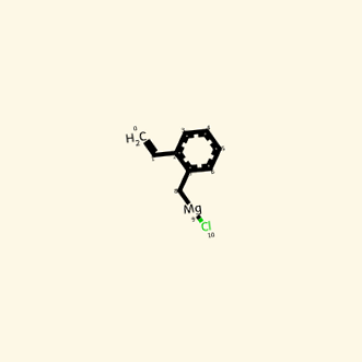 C=Cc1ccccc1[CH2][Mg][Cl]